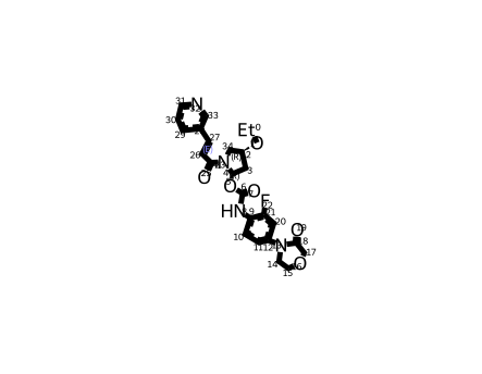 CCO[C@@H]1C[C@@H](OC(=O)Nc2ccc(N3CCOCC3=O)cc2F)N(C(=O)/C=C/c2cccnc2)C1